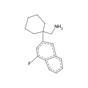 NCC1(c2cc(F)c3ccccc3c2)CCCCC1